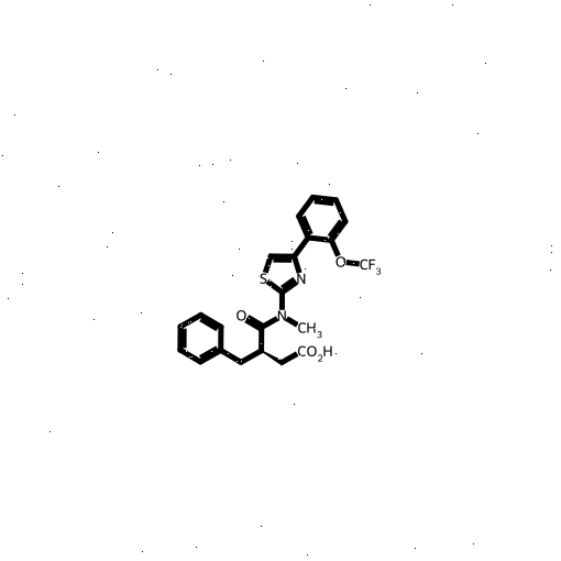 CN(C(=O)[C@@H](CC(=O)O)Cc1ccccc1)c1nc(-c2ccccc2OC(F)(F)F)cs1